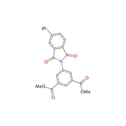 COC(=O)c1cc(C(=O)OC)cc(N2C(=O)c3ccc(C(C)C)cc3C2=O)c1